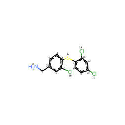 NCc1ccc(Sc2ccc(Cl)cc2Cl)c(Cl)c1